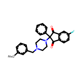 COc1cccc(CN2CCN(C3(c4ccccc4)C(=O)c4ccc(F)cc4C3=O)CC2)c1